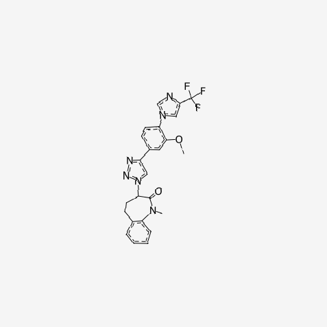 COc1cc(-c2cn(C3CCc4ccccc4N(C)C3=O)nn2)ccc1-n1cnc(C(F)(F)F)c1